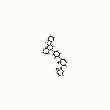 C1=CNC(C2=CC=CC(c3ccc(-c4cc5c6ccccc6oc5c5ccccc45)cc3)N2)C=C1